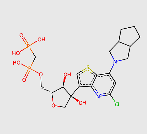 O=P(O)(O)CP(=O)(O)OC[C@H]1OC[C@@](O)(c2csc3c(N4CC5CCCC5C4)cc(Cl)nc23)[C@@H]1O